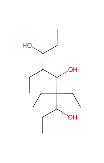 CCC(O)C(CC)C(O)C(CC)(CC)C(O)CC